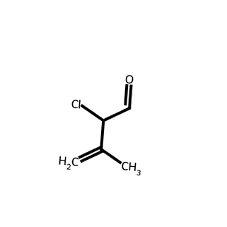 C=C(C)C(Cl)C=O